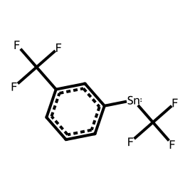 F[C](F)(F)[Sn][c]1cccc(C(F)(F)F)c1